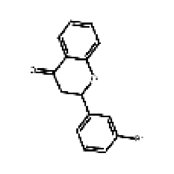 O=C1CC(c2cccc(Br)c2)Oc2ccccc21